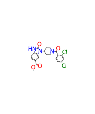 COC(=O)c1ccc2[nH]c(=O)n(C3CCN(C(=O)c4ccc(Cl)cc4Cl)CC3)c2c1